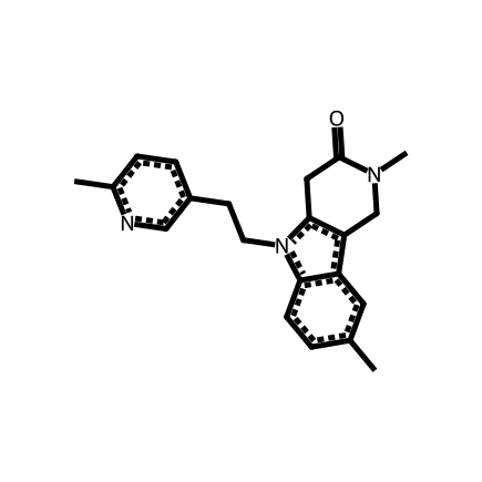 Cc1ccc2c(c1)c1c(n2CCc2ccc(C)nc2)CC(=O)N(C)C1